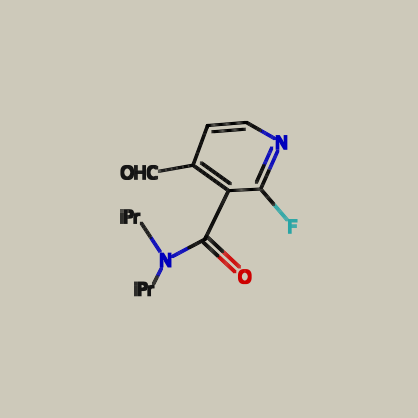 CC(C)N(C(=O)c1c(C=O)ccnc1F)C(C)C